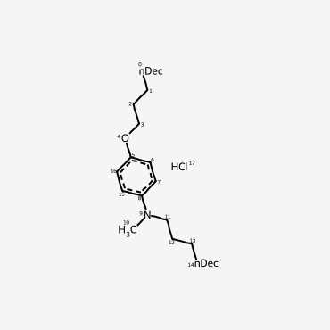 CCCCCCCCCCCCCOc1ccc(N(C)CCCCCCCCCCCCC)cc1.Cl